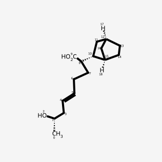 C[C@H](O)C/C=C/CCC(C(=O)O)[C@@H]1C[C@H]2CC[C@@H]1C2